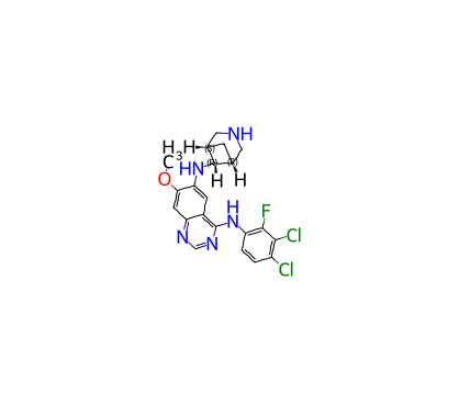 COc1cc2ncnc(Nc3ccc(Cl)c(Cl)c3F)c2cc1N[C@@H]1[C@@H]2CNC[C@H]1C2